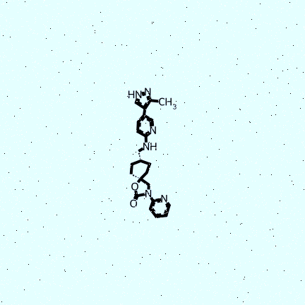 Cc1n[nH]cc1-c1ccc(NC[C@H]2CC[C@]3(CC2)CN(c2ccccn2)C(=O)O3)nc1